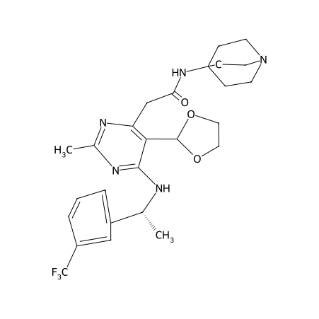 Cc1nc(CC(=O)NC23CCN(CC2)CC3)c(C2OCCO2)c(N[C@H](C)c2cccc(C(F)(F)F)c2)n1